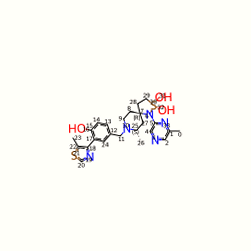 Cc1cncc(N2[C@@]3(CCN(Cc4ccc(O)c(-c5ncsc5C)c4)[C@@H](C)C3)CCS2(O)O)n1